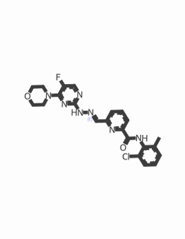 Cc1cccc(Cl)c1NC(=O)c1cccc(/C=N/Nc2ncc(F)c(N3CCOCC3)n2)n1